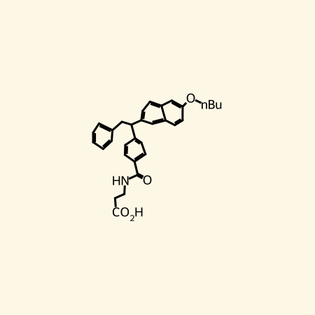 CCCCOc1ccc2cc(C(Cc3ccccc3)c3ccc(C(=O)NCCC(=O)O)cc3)ccc2c1